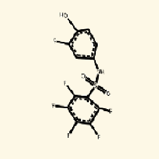 O=S(=O)(Nc1ccc(O)c(F)c1)c1c(F)c(F)c(F)c(F)c1F